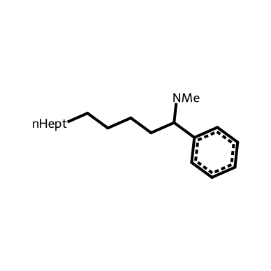 CCCCCCCCCCCC(NC)c1ccccc1